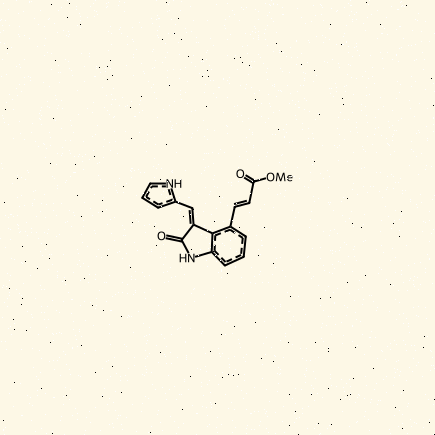 COC(=O)C=Cc1cccc2c1C(=Cc1ccc[nH]1)C(=O)N2